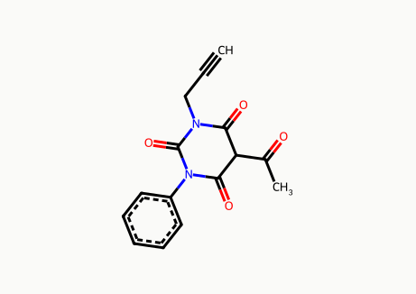 C#CCN1C(=O)C(C(C)=O)C(=O)N(c2ccccc2)C1=O